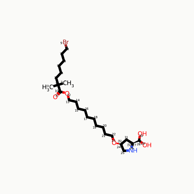 CC(C)(CCCCCCBr)C(=O)OCCCCCCCCCCO[C@@H]1CN[C@H](C(O)O)C1